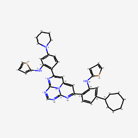 C1=NC2=NC(c3ccc(N4CCCCC4)cc3Nc3cccs3)=CC3=CC(c4ccc(C5CCCCCC5)cc4Nc4cccs4)=NC(=N1)N32